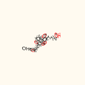 CC(C)(CO)CCCCC1=CC(=O)C=C(c2ccccc2C2=CC(=O)C=C(CCCCC(C)(C)OC=O)C2=O)C1=O